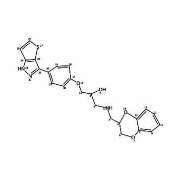 OC(CNCC1COc2ccccc2O1)COc1ccc(-c2n[nH]c3ccsc23)cc1